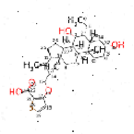 CC[C@H]1[C@@H](O)[C@@H]2[C@H](CC[C@]3(C)[C@@H]([C@H](C)CCOc4ccsc4C(=O)O)CC[C@@H]23)[C@@]2(C)CC[C@@H](O)C[C@@H]12